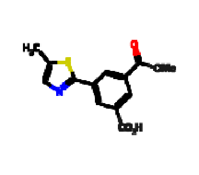 COC(=O)c1cc(C(=O)O)cc(-c2ncc(C)s2)c1